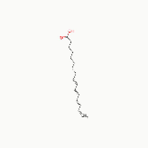 C=CC=CC=CC=CCCCCCCCC(=O)O